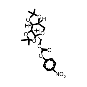 CC1(C)O[C@@H]2[C@@H](CO[C@@]3(COC(=O)Oc4ccc([N+](=O)[O-])cc4)OC(C)(C)O[C@@H]23)O1